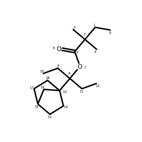 CCC(C)(C)C(=O)OC(CC)(CC)C12CCC(CC1)C2